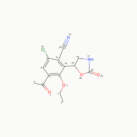 CCOc1c(C(C)=O)cc(Cl)c(C#N)c1C1CNC(=O)O1